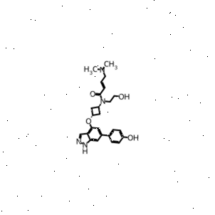 CN(C)C/C=C/C(=O)N(CCO)[C@H]1C[C@H](Oc2cc(-c3ccc(O)cc3)cc3[nH]ncc23)C1